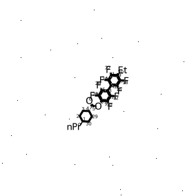 CCC[C@H]1CC[C@H](C(=O)Oc2c(F)c(F)c(-c3c(F)c(F)c(CC)c(F)c3F)c(F)c2F)CC1